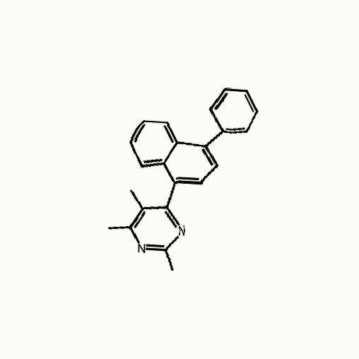 Cc1nc(C)c(C)c(-c2ccc(-c3ccccc3)c3ccccc23)n1